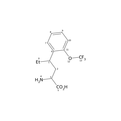 CCC(CC(N)C(=O)O)c1ccccc1OC(F)(F)F